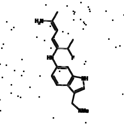 CNCc1c[nH]c2cc(N/C(=C/C=C(/C)N)C(C)F)ccc12